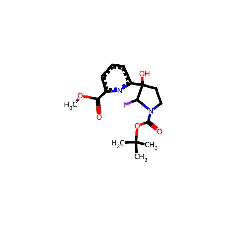 COC(=O)c1cccc(C2(O)CCN(C(=O)OC(C)(C)C)C2I)n1